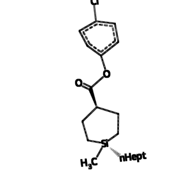 CCCCCCC[Si@]1(C)CC[C@@H](C(=O)Oc2ccc(Cl)cc2)CC1